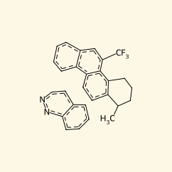 CC1CCCc2c1ccc1c2c(C(F)(F)F)cc2ccccc21.c1ccc2nnccc2c1